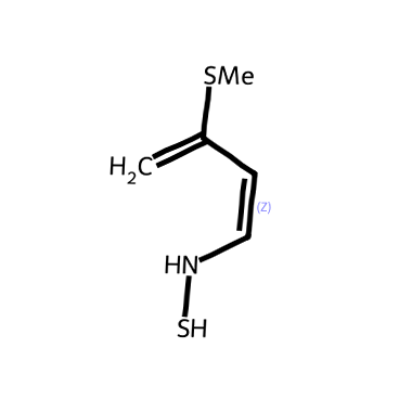 C=C(/C=C\NS)SC